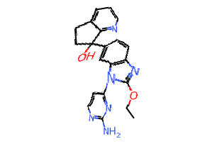 CCOc1nc2ccc(C3(O)CCc4cccnc43)cc2n1-c1ccnc(N)n1